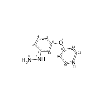 NNc1cccc(Oc2ccncc2)c1